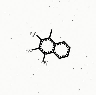 Cc1c(C(F)(F)F)c(C(F)(F)F)c(C(F)(F)F)c2ccccc12